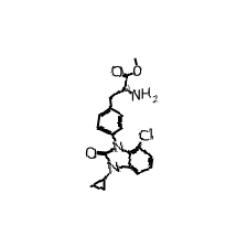 COC(=O)[C@@H](N)Cc1ccc(-n2c(=O)n(C3CC3)c3cccc(Cl)c32)cc1